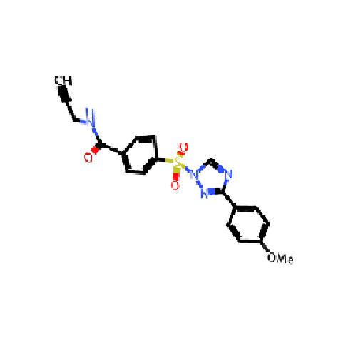 C#CCNC(=O)c1ccc(S(=O)(=O)n2cnc(-c3ccc(OC)cc3)n2)cc1